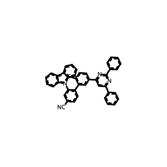 N#Cc1ccc(-c2cc(-c3cc(-c4ccccc4)nc(-c4ccccc4)n3)ccc2F)c(-n2c3ccccc3c3ccccc32)c1